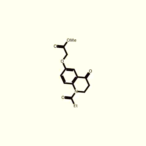 CCC(=O)N1CCC(=O)c2cc(OCC(=O)OC)ccc21